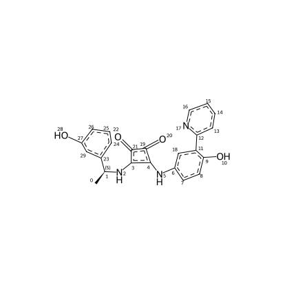 C[C@H](Nc1c(Nc2ccc(O)c(-c3ccccn3)c2)c(=O)c1=O)c1cccc(O)c1